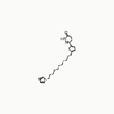 O=C1CCC(c2ccc(CCCCCCCCCCCn3ccnc3)s2)=NN1